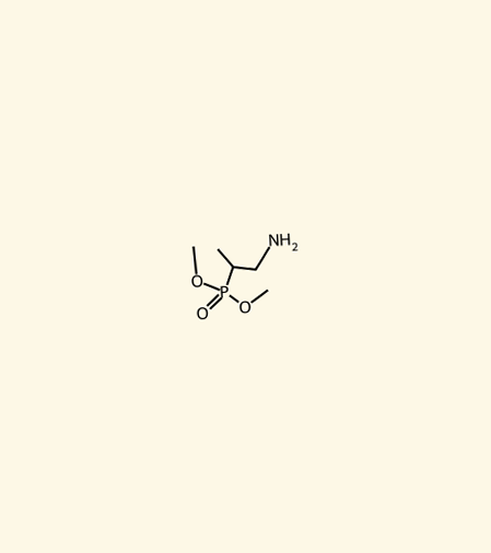 COP(=O)(OC)C(C)CN